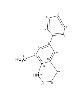 O=C(O)c1cc(-c2ccccc2)cc2c1NCCC2